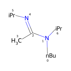 CCCCN(/C(C)=N/C(C)C)C(C)C